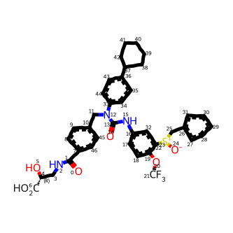 O=C(NC[C@@H](O)C(=O)O)c1ccc(CN(C(=O)Nc2ccc(OC(F)(F)F)c([S+]([O-])Cc3ccccc3)c2)c2ccc(C3CCCCC3)cc2)cc1